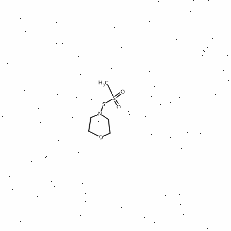 CS(=O)(=O)SN1CCOCC1